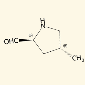 C[C@H]1CN[C@H]([C]=O)C1